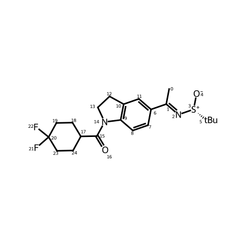 C/C(=N\[S@+]([O-])C(C)(C)C)c1ccc2c(c1)CCN2C(=O)C1CCC(F)(F)CC1